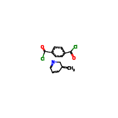 C=C1C=CC=NC1.O=C(Cl)c1ccc(C(=O)Cl)cc1